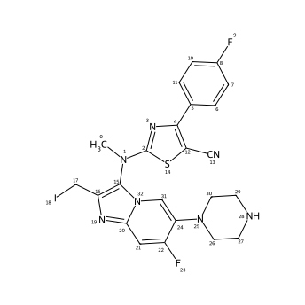 CN(c1nc(-c2ccc(F)cc2)c(C#N)s1)c1c(CI)nc2cc(F)c(N3CCNCC3)cn12